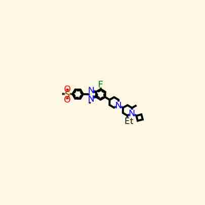 CCC1CC(N2CCC(c3cc(F)c4nc(-c5ccc(S(C)(=O)=O)cc5)n(C)c4c3)CC2)CC(C)N1C1CCC1